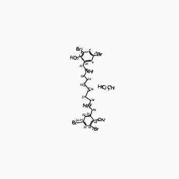 Cl.Cl.Oc1c(Br)cc(Br)cc1CNCCSSCCNCc1cc(Br)cc(Br)c1O